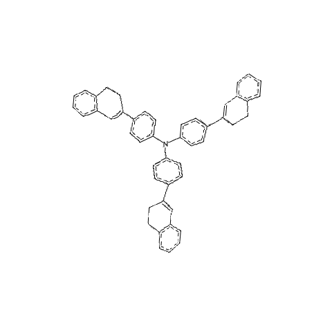 C1=C(c2ccc(N(c3ccc(C4=Cc5ccccc5CC4)cc3)c3ccc(C4=Cc5ccccc5CC4)cc3)cc2)CCc2ccccc21